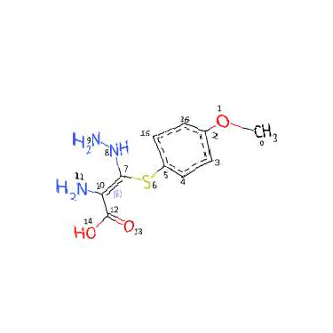 COc1ccc(S/C(NN)=C(/N)C(=O)O)cc1